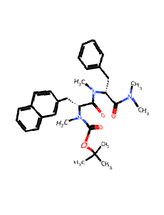 CN(C)C(=O)[C@@H](Cc1ccccc1)N(C)C(=O)[C@@H](Cc1ccc2ccccc2c1)N(C)C(=O)OC(C)(C)C